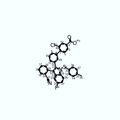 COC(=O)c1ccc(-c2cccc(-c3c(-c4ccccc4C#N)c4cc(F)ccc4n3Sc3ccc(C)cc3)c2)c(Cl)c1